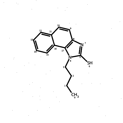 CCCCn1c(S)nc2ccc3ccccc3c21